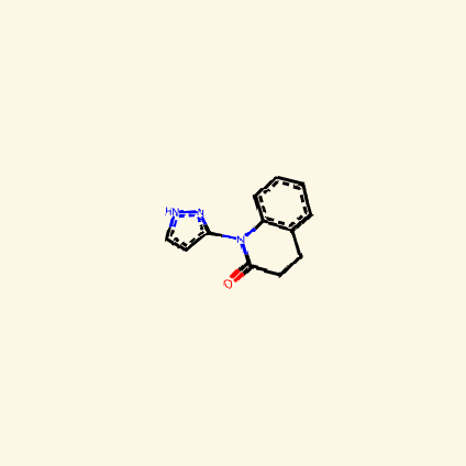 O=C1CCc2ccccc2N1c1cc[nH]n1